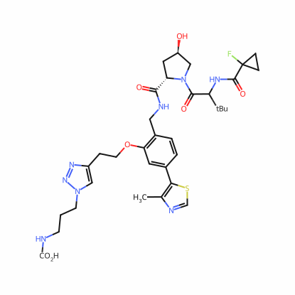 Cc1ncsc1-c1ccc(CNC(=O)[C@@H]2C[C@@H](O)CN2C(=O)C(NC(=O)C2(F)CC2)C(C)(C)C)c(OCCc2cn(CCCNC(=O)O)nn2)c1